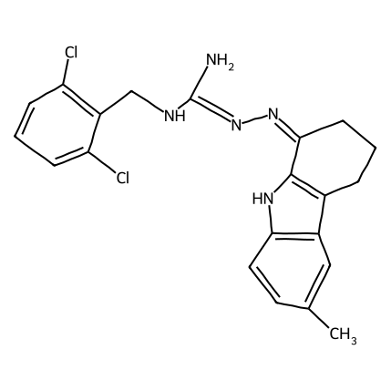 Cc1ccc2[nH]c3c(c2c1)CCC/C3=N/N=C(\N)NCc1c(Cl)cccc1Cl